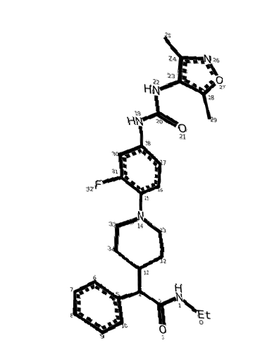 CCNC(=O)C(c1ccccc1)C1CCN(c2ccc(NC(=O)Nc3c(C)noc3C)cc2F)CC1